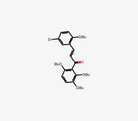 CCc1ccc(OCC(C)C)c(/C=C/C(=O)c2c(OCC(C)C)ccc(OCC(C)C)c2OCC(C)C)c1